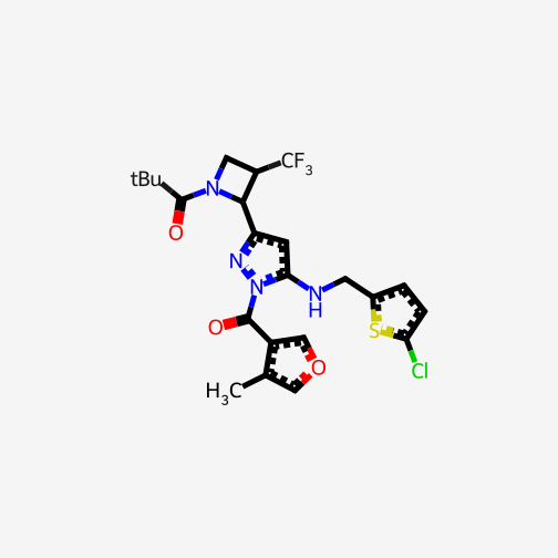 Cc1cocc1C(=O)n1nc(C2C(C(F)(F)F)CN2C(=O)C(C)(C)C)cc1NCc1ccc(Cl)s1